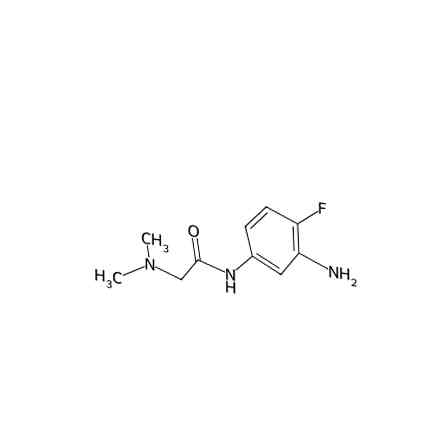 CN(C)CC(=O)Nc1ccc(F)c(N)c1